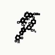 COc1cc2ncnc(Nc3ccc(Cl)c(Cl)c3F)c2cc1OC1CCC(CN2C(C)CN(c3cc4c(cc3F)CN(C3CCC(=O)NC3=O)C4)CC2C)CC1